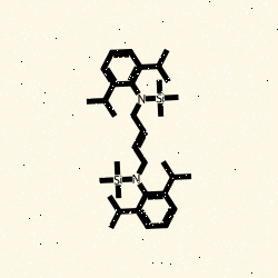 CC(C)c1cccc(C(C)C)c1N(CC=CCN(c1c(C(C)C)cccc1C(C)C)[Si](C)(C)C)[Si](C)(C)C